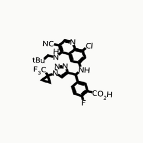 CC(C)(C)CNc1c(C#N)cnc2c(Cl)cc(NC(c3ccc(F)c(C(=O)O)c3)c3cn(C4(C(F)(F)F)CC4)nn3)cc12